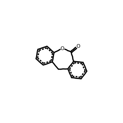 O=C1Oc2ccccc2Cc2ccccc21